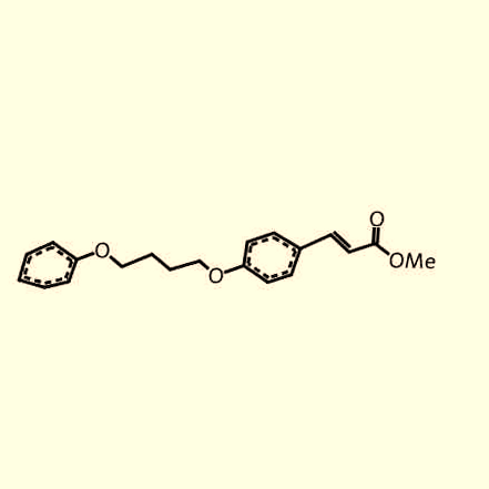 COC(=O)/C=C/c1ccc(OCCCCOc2ccccc2)cc1